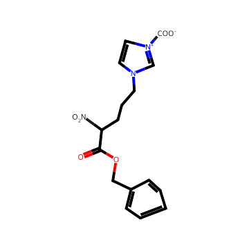 O=C(OCc1ccccc1)C(CCCn1cc[n+](C(=O)[O-])c1)[N+](=O)[O-]